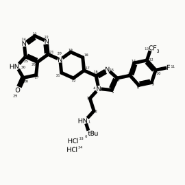 CC(C)(C)NCCn1cc(-c2ccc(F)c(C(F)(F)F)c2)nc1C1CCN(c2ncnc3c2CC(=O)N3)CC1.Cl.Cl